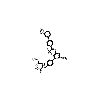 COc1cccc(-c2ccc([C@@H](Oc3cc(-c4ccc(C[C@H](NC(=O)CN)C(=O)O)cc4)nc(N)n3)C(F)(F)F)cc2)c1